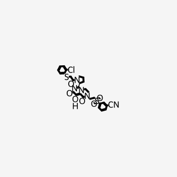 N#Cc1cccc(S(=O)(=O)CCN2CCn3c([C@@H]4CCCN4C(=O)CSc4ccccc4Cl)nc(=O)c(O)c3C2=O)c1